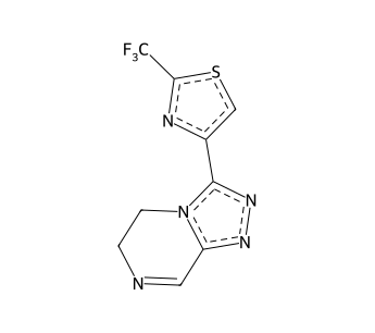 FC(F)(F)c1nc(-c2nnc3n2CCN=C3)cs1